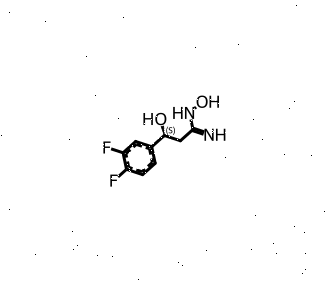 N=C(C[C@H](O)c1ccc(F)c(F)c1)NO